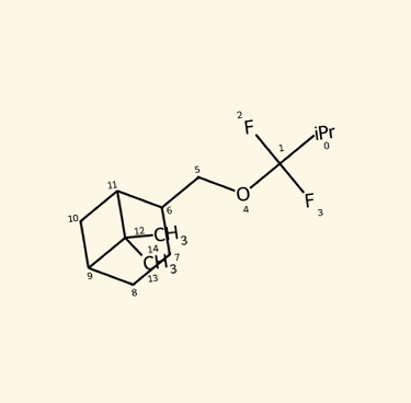 CC(C)C(F)(F)OCC1CCC2CC1C2(C)C